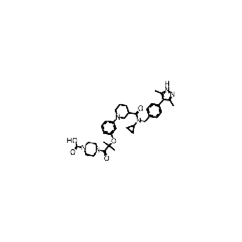 Cc1n[nH]c(C)c1-c1ccc(CN(C(=O)C2CCCN(c3cccc(OC(C)(C)C(=O)N4CCN(C(=O)O)CC4)c3)C2)C2CC2)cc1